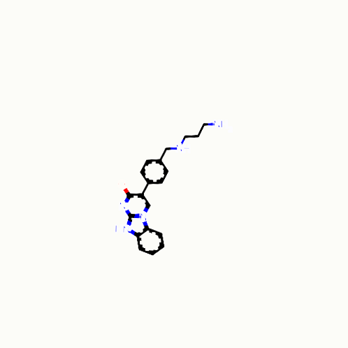 NCCCNCc1ccc(-c2cn3c(nc2=O)[nH]c2ccccc23)cc1